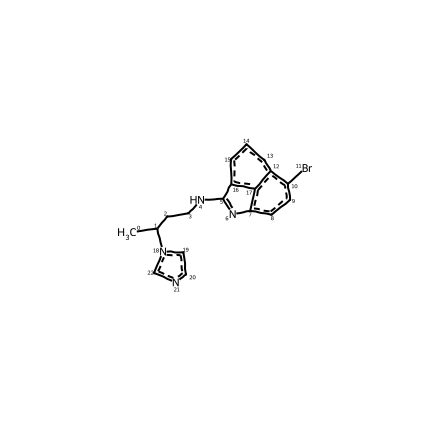 CC(CCNC1=Nc2ccc(Br)c3cccc1c23)n1ccnc1